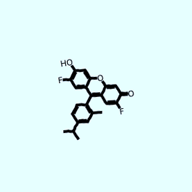 Cc1cc(C(C)C)ccc1-c1c2cc(F)c(=O)cc-2oc2cc(O)c(F)cc12